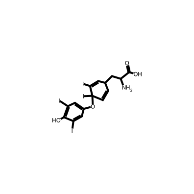 NC(CC1C=CC(I)(Oc2cc(I)c(O)c(I)c2)C(I)=C1)C(=O)O